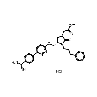 COC(=O)C[C@@H]1C[C@@H](COc2ccc(-c3ccc(C(=N)N)cc3)nn2)N(CCCc2ccccc2)C1=O.Cl